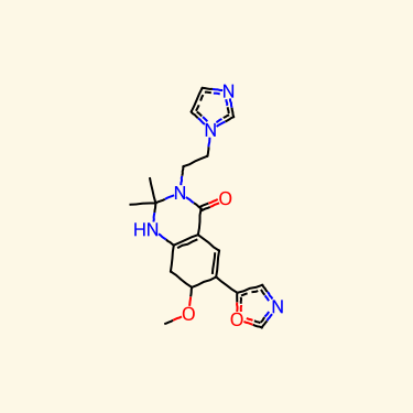 COC1CC2=C(C=C1c1cnco1)C(=O)N(CCn1ccnc1)C(C)(C)N2